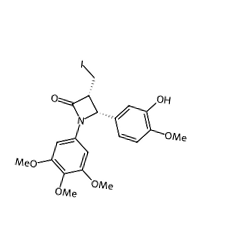 COc1ccc([C@H]2[C@@H](CI)C(=O)N2c2cc(OC)c(OC)c(OC)c2)cc1O